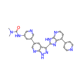 CN(C)C(=O)Nc1cncc(-c2cnc3[nH]nc(-c4nc5c(-c6ccncc6)ccnc5[nH]4)c3c2)c1